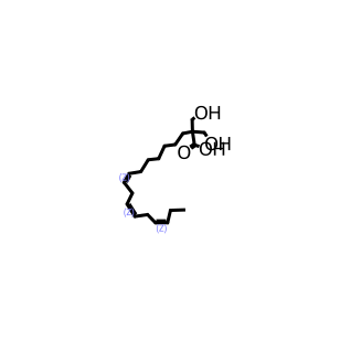 CC/C=C\C/C=C\C/C=C\CCCCCCC(CO)(CO)C(=O)O